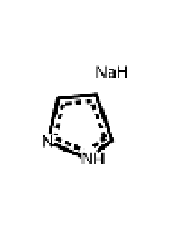 [NaH].c1cn[nH]c1